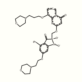 CC(C)c1cc(OCCN2CCOCC2)cc2c1C(=O)[N+]([O-])(COc1cc(=O)n3cccc(OCCCN4CCOCC4)c3n1)[S+]2[O-]